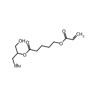 C=CC(=O)OCCCCC(=O)OC(CO)CC(C)(C)C